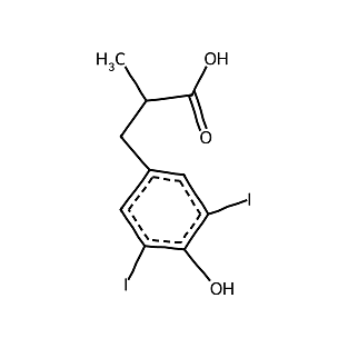 CC(Cc1cc(I)c(O)c(I)c1)C(=O)O